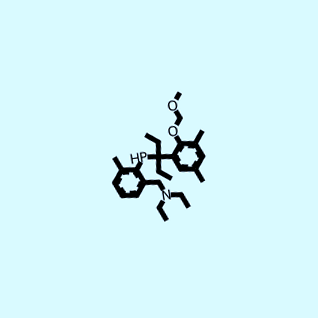 CCN(CC)Cc1cccc(C)c1PC(CC)(CC)c1cc(C)cc(C)c1OCOC